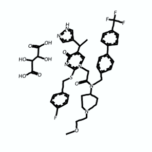 COCCN1CCC(N(Cc2ccc(-c3ccc(C(F)(F)F)cc3)cc2)C(=O)Cn2cc(C(C)c3cn[nH]c3)c(=O)nc2SCc2ccc(F)cc2)CC1.O=C(O)C(O)C(O)C(=O)O